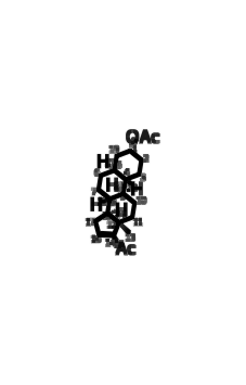 CC(=O)O[C@@H]1CC[C@H]2[C@@H](CC[C@@H]3[C@@H]2CC[C@]2(C)C(C(C)=O)=CC[C@@H]32)C1